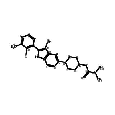 Cc1nccc(-c2[nH]c3ccc(C4CCN(CC(=O)N(C)C)CC4)cc3c2C(C)C)c1F